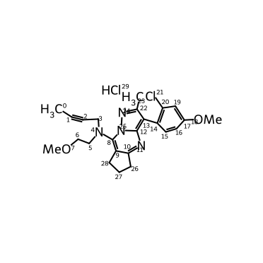 CC#CCN(CCOC)c1c2c(nc3c(-c4ccc(OC)cc4Cl)c(C)nn13)CCC2.Cl